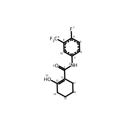 O=C(Nc1ccc(F)c(C(F)(F)F)c1)C1=C(O)CCCC1